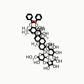 CC1(C)CC2C3=CCC4[C@@]5(C)CC[C@H](O[C@@H]6OC(C(=O)O)[C@@H](O)[C@@H](O[C@@H]7O[C@@H](CO)[C@@H](O)C7O)C6O[C@@H]6OC(CO)[C@H](O)[C@@H](O)C6O)C(C)(C)C5CC[C@@]4(C)[C@]3(C)[C@@H](O)[C@@H](O)[C@@]2(CO)[C@@H](OC(=O)c2ccccc2)[C@@H]1OC(=O)c1ccccc1